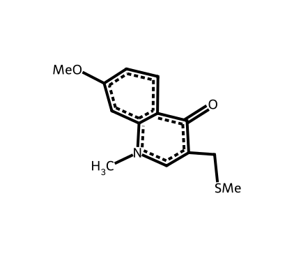 COc1ccc2c(=O)c(CSC)cn(C)c2c1